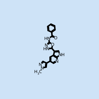 Cn1cc(-c2cnc3[nH]cc(C4NN=C(NC(=O)c5ccccc5)O4)c3c2)cn1